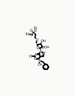 CCOP(=O)(CCOC[C@H]1O[C@H](n2ncc3c(N(C)Cc4ccccc4)nc(Cl)nc32)[C@H](O)[C@@H]1O)OCC